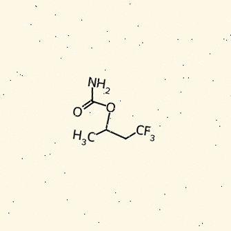 CC(CC(F)(F)F)OC(N)=O